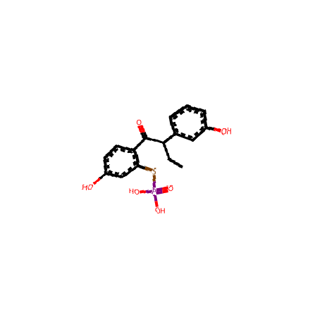 CCC(C(=O)c1ccc(O)cc1SP(=O)(O)O)c1cccc(O)c1